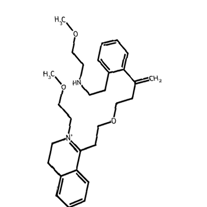 C=C(CCOCCC1=[N+](CCOC)CCc2ccccc21)c1ccccc1CCNCCOC